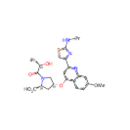 COc1ccc2c(O[C@@H]3C[C@@H](C(=O)O)N(C(=O)[C@H](O)C(C)C)C3)cc(-c3csc(NC(C)C)n3)nc2c1